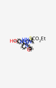 CCOC(=O)c1sc(Nc2nc(N3CCC(O)CC3)c3c(n2)N(Cc2ccco2)CCCC3)nc1C